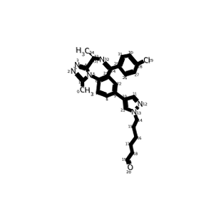 Cc1nnc2n1-c1ccc(-c3cnn(CCCCCC=O)c3)cc1C(c1ccc(Cl)cc1)=N[C@H]2C